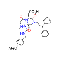 COc1ccc(CNC(=O)N2[C@H]3CN(CCC(c4ccccc4)c4ccccc4)C(=O)[C@H](CC(=O)O)N3C(=O)CN2C)cc1